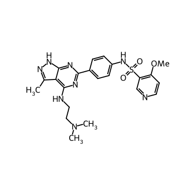 COc1ccncc1S(=O)(=O)Nc1ccc(-c2nc(NCCN(C)C)c3c(C)n[nH]c3n2)cc1